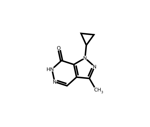 Cc1nn(C2CC2)c2c(=O)[nH]ncc12